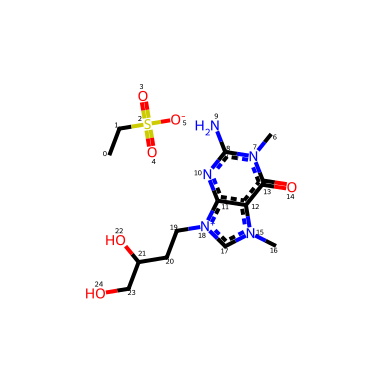 CCS(=O)(=O)[O-].Cn1c(N)nc2c(c1=O)n(C)c[n+]2CCC(O)CO